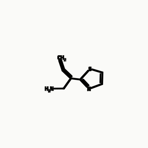 C=C=C(CN)c1nccs1